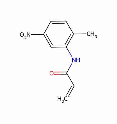 C=CC(=O)Nc1cc([N+](=O)[O-])ccc1C